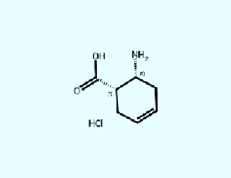 Cl.N[C@@H]1CC=CC[C@@H]1C(=O)O